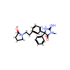 CN1C(=N)NC(c2ccccc2)(c2cccc(CCN3CCCC3=O)c2)C1=O